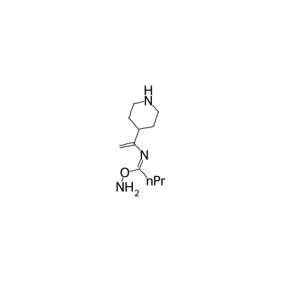 C=C(/N=C(/CCC)ON)C1CCNCC1